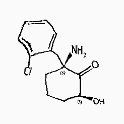 N[C@]1(c2ccccc2Cl)CCC[C@H](O)C1=O